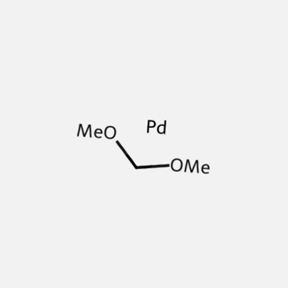 COCOC.[Pd]